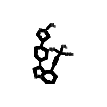 CC(=O)NC(C)(C)C#Cc1cccn2ncc(-c3ccc(-c4cnn(C)c4)cc3)c12